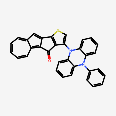 O=C1c2c3cccccc-3cc2-c2scc(N3c4ccccc4N(c4ccccc4)c4ccccc43)c21